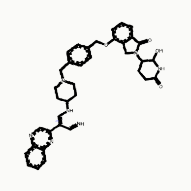 N=C/C(=C\NC1CCN(Cc2ccc(COc3cccc4c3CN(C3CCC(=O)NC3O)C4=O)cc2)CC1)c1cnc2ccccc2n1